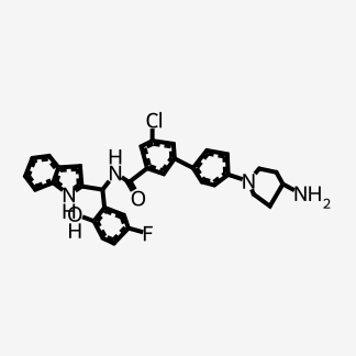 NC1CCN(c2ccc(-c3cc(Cl)cc(C(=O)NC(c4cc5ccccc5[nH]4)c4cc(F)ccc4O)c3)cc2)CC1